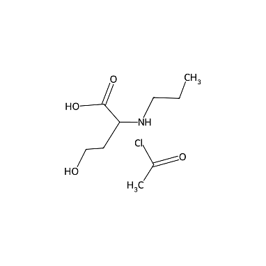 CC(=O)Cl.CCCNC(CCO)C(=O)O